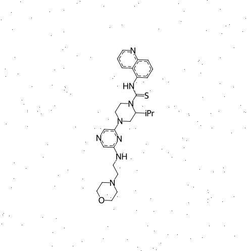 CC(C)C1CN(c2cncc(NCCN3CCOCC3)n2)CCN1C(=S)Nc1cccc2ncccc12